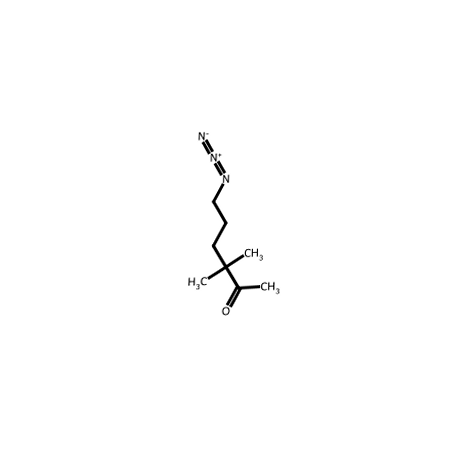 CC(=O)C(C)(C)CCCN=[N+]=[N-]